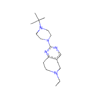 CCN1CCc2nc(N3CCN(C(C)(C)C)CC3)ncc2C1